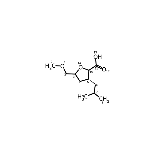 COCC1C[C@@H](CC(C)C)C(C(=O)O)O1